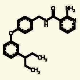 CCC(CC)c1cccc(Oc2ccc(CNC(=O)c3cccnc3N)cc2)c1